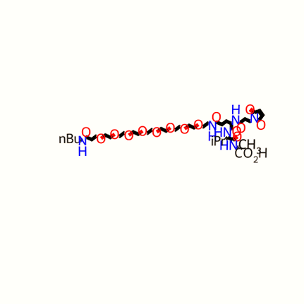 CCCCNC(=O)CCOCCOCCOCCOCCOCCOCCOCCOCCNC(=O)CCC(NC(=O)CCN1C(=O)C=CC1=O)C(=O)NC(C(=O)NC(C)C(=O)O)C(C)C